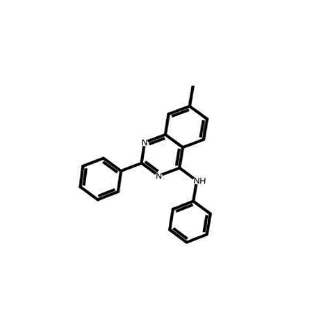 Cc1ccc2c(Nc3ccccc3)nc(-c3ccccc3)nc2c1